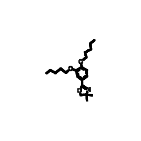 CCCCCOc1ccc(C2=NC(C)(C)CO2)cc1OCCCCC